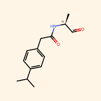 CC(C)c1ccc(CC(=O)N[C@@H](C)[C]=O)cc1